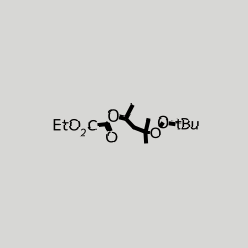 CCOC(=O)C(=O)OC(C)CC(C)(C)OOC(C)(C)C